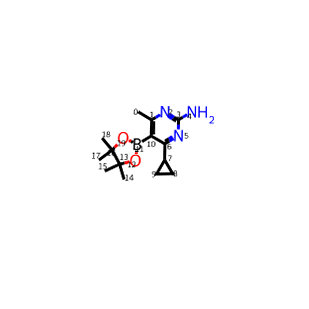 Cc1nc(N)nc(C2CC2)c1B1OC(C)(C)C(C)(C)O1